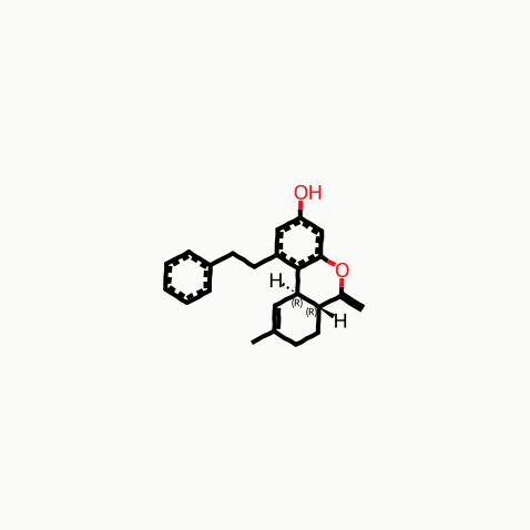 C=C1Oc2cc(O)cc(CCc3ccccc3)c2[C@@H]2C=C(C)CC[C@@H]12